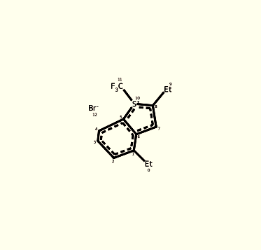 CCc1cccc2c1cc(CC)[s+]2C(F)(F)F.[Br-]